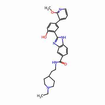 CCN1CCC(CCNC(=O)c2ccc3[nH]c(-c4cc(-c5cccnc5OC)ccc4O)nc3c2)CC1